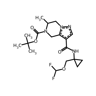 CC1Cn2ncc(C(=O)NC3(COC(F)F)CC3)c2CN1C(=O)OC(C)(C)C